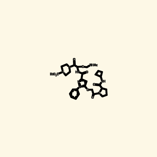 CCOC(=O)N1CCN(C(=O)C(CCNC(C)=O)NC(=O)c2cc(OCC(=O)N3CCCC3C(=O)NC3CCC3)n(-c3ccccc3)n2)CC1